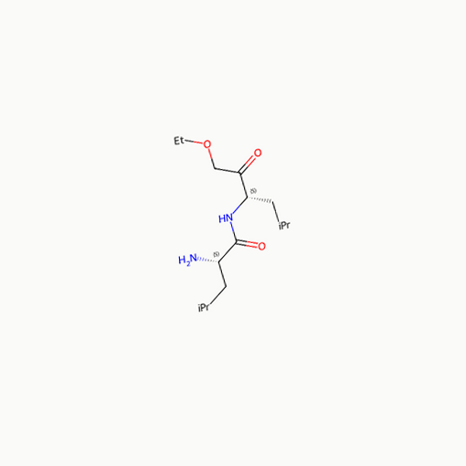 CCOCC(=O)[C@H](CC(C)C)NC(=O)[C@@H](N)CC(C)C